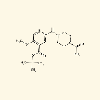 COc1cnc(NC2CCN(C(C)=O)CC2)cc1C(=O)OC(C)(C)C